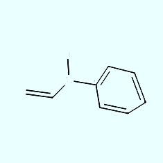 CC(C)N([C]=S)c1ccccc1